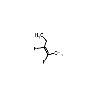 CC/C(F)=C(\C)F